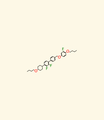 CCCCOc1ccc(OCc2ccc(-c3ccc(C4CCC(OCCCC)CC4)c(F)c3F)cc2)cc1F